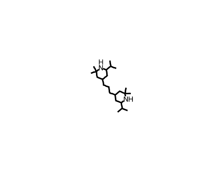 CC(C)C1CC(CCCC2CC(C(C)C)NC(C)(C)C2)CC(C)(C)N1